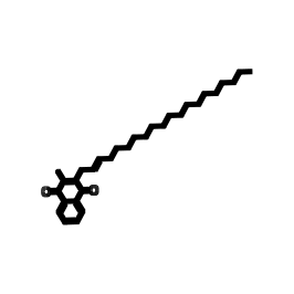 CCCCCCCCCCCCCCCCC/C=C/CC1=C(C)C(=O)c2ccccc2C1=O